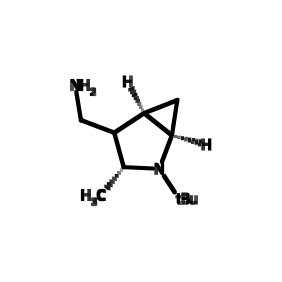 C[C@@H]1C(CN)[C@H]2C[C@H]2N1C(C)(C)C